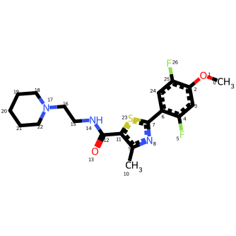 COc1cc(F)c(-c2nc(C)c(C(=O)NCCN3CCCCC3)s2)cc1F